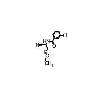 CCOOCC(C#N)NC(=O)c1cccc(Cl)c1